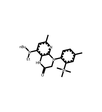 CCCCN(CC)c1cc(C)nc2c1NC(=O)CN2c1ccc(C)c[c]1[Sn]([CH3])([CH3])[CH3]